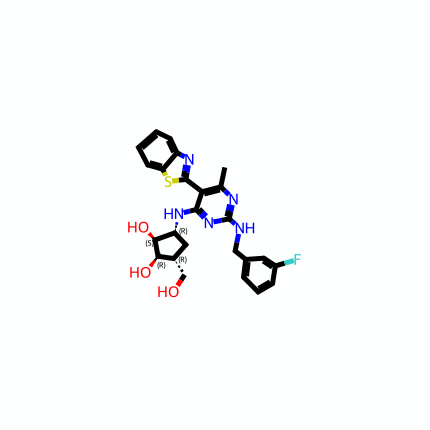 Cc1nc(NCc2cccc(F)c2)nc(N[C@@H]2C[C@H](CO)[C@@H](O)[C@H]2O)c1-c1nc2ccccc2s1